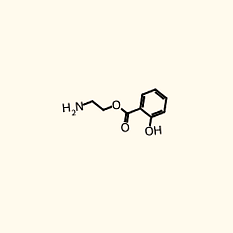 NCCOC(=O)c1ccccc1O